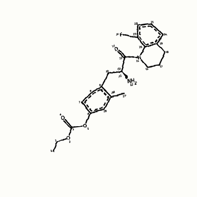 CCOC(=O)Oc1ccc(C[C@H](N)C(=O)N2CCCc3cccc(F)c32)c(C)c1